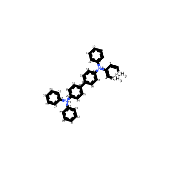 C/C=C\C(=C/C)N(c1ccccc1)c1ccc(-c2ccc(N(c3ccccc3)c3ccccc3)cc2)cc1